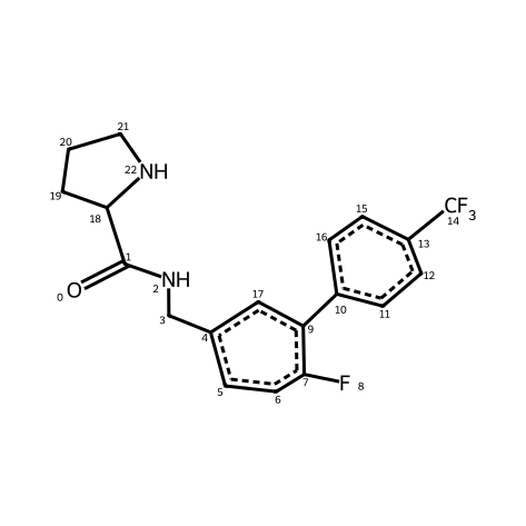 O=C(NCc1ccc(F)c(-c2ccc(C(F)(F)F)cc2)c1)C1CCCN1